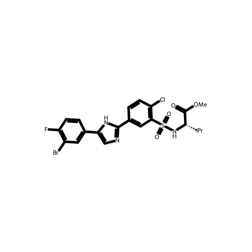 COC(=O)[C@@H](NS(=O)(=O)c1cc(-c2ncc(-c3ccc(F)c(Br)c3)[nH]2)ccc1Cl)C(C)C